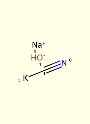 N#[C][K].[Na+].[OH-]